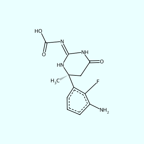 C[C@@]1(c2cccc(N)c2F)CC(=O)N/C(=N/C(=O)O)N1